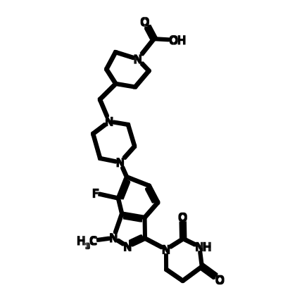 Cn1nc(N2CCC(=O)NC2=O)c2ccc(N3CCN(CC4CCN(C(=O)O)CC4)CC3)c(F)c21